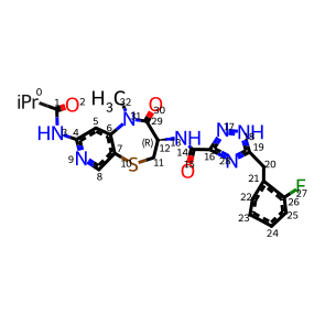 CC(C)C(=O)Nc1cc2c(cn1)SC[C@H](NC(=O)c1n[nH]c(Cc3ccccc3F)n1)C(=O)N2C